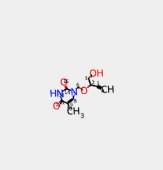 C#CC(CO)OCn1cc(C)c(=O)[nH]c1=O